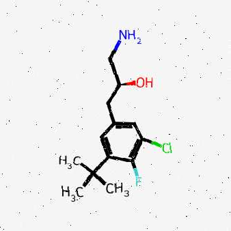 CC(C)(C)c1cc(C[C@H](O)CN)cc(Cl)c1F